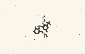 CCNCc1cccc(C)c1Pc1cc(C)cc(C(C)(C)C)c1OCOC